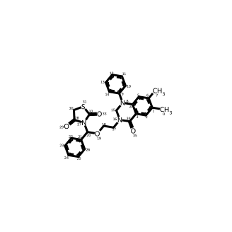 Cc1cc2c(cc1C)N(c1ccccc1)CN(CCOC(c1ccccc1)N1C(=O)CSC1=O)C2=O